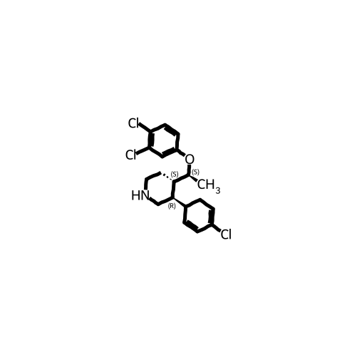 C[C@H](Oc1ccc(Cl)c(Cl)c1)[C@H]1CCNC[C@@H]1C1C=CC(Cl)=CC1